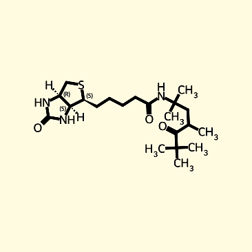 CC(CC(C)(C)NC(=O)CCCC[C@@H]1SC[C@@H]2NC(=O)N[C@@H]21)C(=O)C(C)(C)C